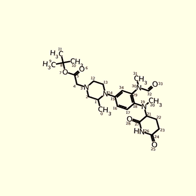 CC1CN(CC(=O)OC(C)(C)C)CCN1c1ccc(N(C)C2CCC(=O)NC2=O)c(N(C)C=O)c1